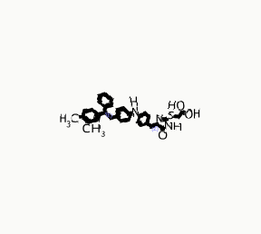 Cc1ccc(/C(=C/c2ccc(Nc3ccc(/C=C4\N=C(SCC(O)O)NC4=O)cc3)cc2)c2ccccc2)cc1C